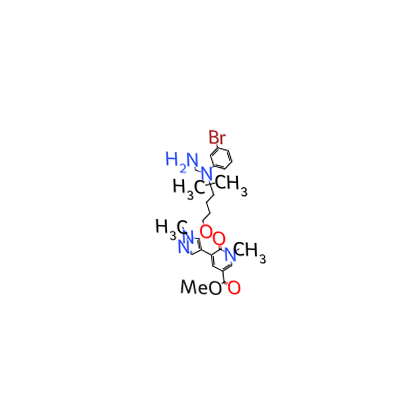 COC(=O)c1cc(-c2cnn(C)c2OCCCCC(C)(C)N(CN)c2cccc(Br)c2)c(=O)n(C)c1